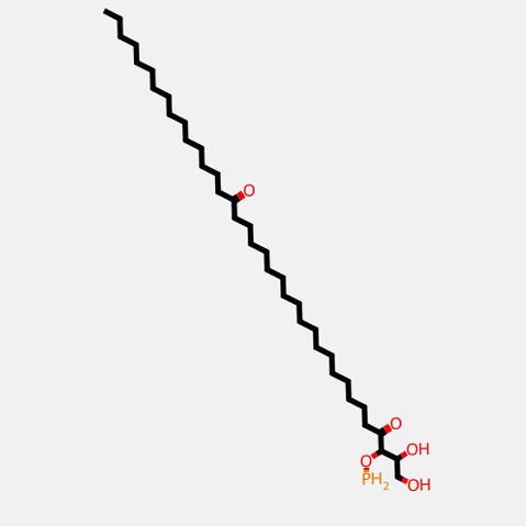 CCCCCCCCCCCCCCCC(=O)CCCCCCCCCCCCCCCCCC(=O)C(OP)C(O)CO